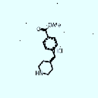 COC(=O)c1ccc(C=C2CCNCC2)cc1.Cl